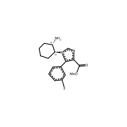 COC(=O)c1ncn([C@H]2CCCC[C@@H]2N)c1-c1cccc(F)c1